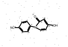 N#Cc1ccc(-n2ccc(O)cc2=O)cc1